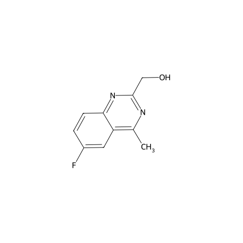 Cc1nc(CO)nc2ccc(F)cc12